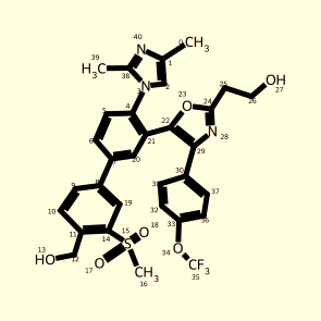 Cc1cn(-c2ccc(-c3ccc(CO)c(S(C)(=O)=O)c3)cc2-c2oc(CCO)nc2-c2ccc(OC(F)(F)F)cc2)c(C)n1